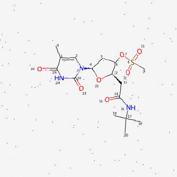 Cc1cn([C@H]2CC(OS(C)(=O)=O)[C@@H](CC(=O)NC(C)(C)C)O2)c(=O)[nH]c1=O